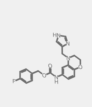 O=C(Nc1ccc2c(c1)N(Cc1c[nH]cn1)CCO2)OCc1ccc(F)cc1